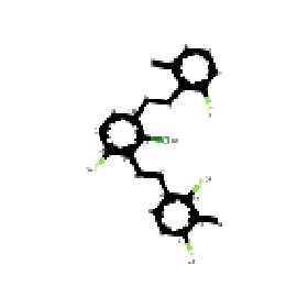 Cc1cccc(F)c1CCc1ccc(F)c(CCc2ccc(F)c(C)c2F)c1Cl